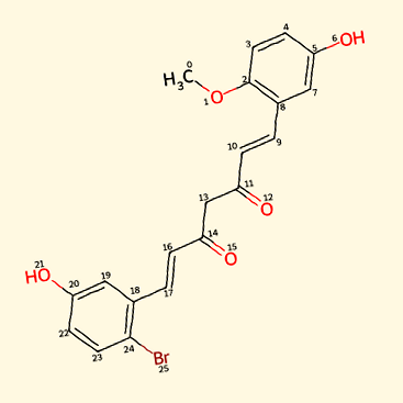 COc1ccc(O)cc1C=CC(=O)CC(=O)C=Cc1cc(O)ccc1Br